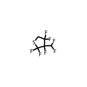 FC(F)C1(F)C(F)(F)CSC1(F)F